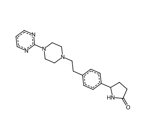 O=C1CCC(c2ccc(CCN3CCN(c4ncccn4)CC3)cc2)N1